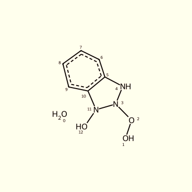 O.OON1Nc2ccccc2N1O